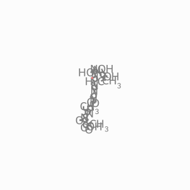 CCc1c2c(nc3ccc(OC(=O)N4CCC(N5CCN(c6ccc(-n7c(O)nnc7-c7cc(C(C)C)c(O)cc7O)cc6)CC5)CC4)cc13)-c1cc3c(c(=O)n1C2)COC(=O)C3(O)CC